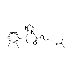 CC(C)=CCCOC(=O)n1ccnc1[C@@H](C)c1cccc(C)c1C